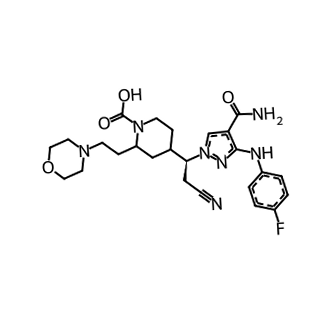 N#CC[C@@H](C1CCN(C(=O)O)C(CCN2CCOCC2)C1)n1cc(C(N)=O)c(Nc2ccc(F)cc2)n1